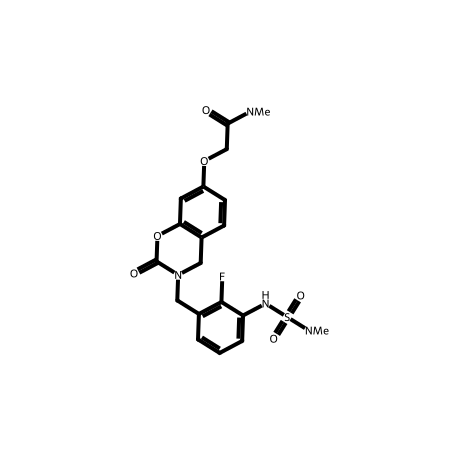 CNC(=O)COc1ccc2c(c1)OC(=O)N(Cc1cccc(NS(=O)(=O)NC)c1F)C2